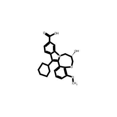 COc1cccc2c1OC[C@@H](O)Cn1c-2c(C2CCCCC2)c2ccc(C(=O)O)cc21